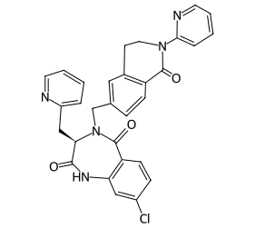 O=C1Nc2cc(Cl)ccc2C(=O)N(Cc2ccc3c(c2)CCN(c2ccccn2)C3=O)[C@@H]1Cc1ccccn1